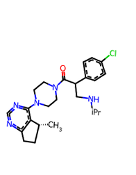 CC(C)NCC(C(=O)N1CCN(c2ncnc3c2[C@H](C)CC3)CC1)c1ccc(Cl)cc1